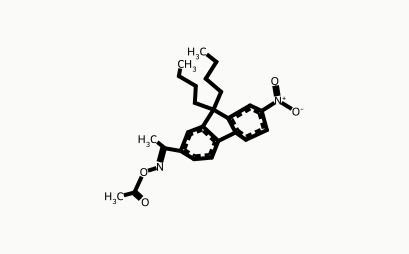 CCCCC1(CCCC)c2cc(/C(C)=N/OC(C)=O)ccc2-c2ccc([N+](=O)[O-])cc21